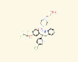 O=C(N[C@@](Cc1ccccc1)(c1cccc(OC(F)(F)C(F)F)c1)c1ccc(Cl)cn1)N1CCN(CCO)CC1